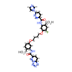 O=C(Nc1cc(OCCCCOc2ccc(C(=O)O)c(NC(=O)c3ccc4nnnn4n3)c2)c(F)cc1C(=O)O)c1ccc(-n2ccnc2)nn1